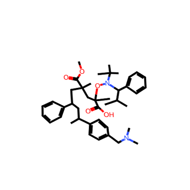 COC(=O)C(C)(CC(CC(C)c1ccc(CN(C)C)cc1)c1ccccc1)CC(C)(ON(C(c1ccccc1)C(C)C)C(C)(C)C)C(=O)O